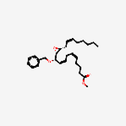 CCCCC/C=C\C[C@H]1O[C@H]1[C@H](/C=C\C/C=C\CCCC(=O)OC)OCc1ccccc1